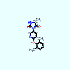 Cc1cccc(C)c1Oc1ccc(N2C(=O)N[C@H](C)C2=O)cn1